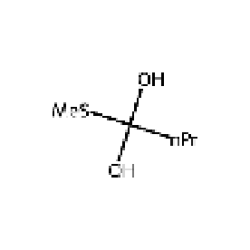 CCCC(O)(O)SC